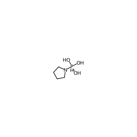 O[PH](O)(O)N1CCCC1